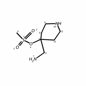 CS(=O)(=O)OC1(CN)CCNCC1